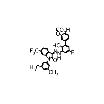 Cc1cc(C)cc(N2C(=O)C(=NNc3cc(F)cc(-c4cccc(OC(=O)O)c4)c3O)c3ccc(C(F)(F)F)cc32)c1